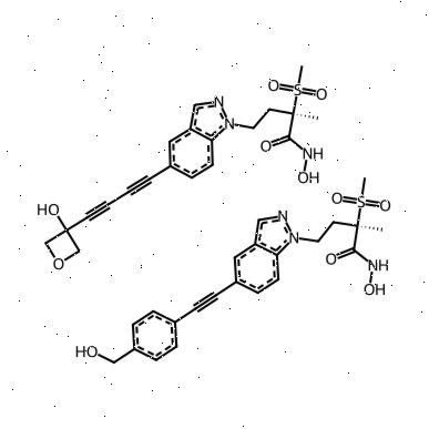 C[C@@](CCn1ncc2cc(C#CC#CC3(O)COC3)ccc21)(C(=O)NO)S(C)(=O)=O.C[C@@](CCn1ncc2cc(C#Cc3ccc(CO)cc3)ccc21)(C(=O)NO)S(C)(=O)=O